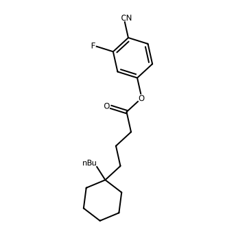 CCCCC1(CCCC(=O)Oc2ccc(C#N)c(F)c2)CCCCC1